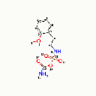 COc1ccccc1CCNS(=O)(=O)OC(N)=O